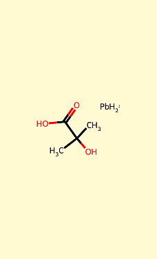 CC(C)(O)C(=O)O.[PbH2]